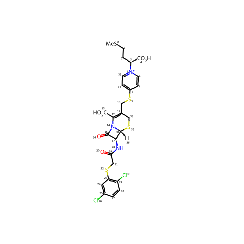 CSCC[C@@H](C(=O)O)[n+]1ccc(SCC2=C(C(=O)O)N3C(=O)[C@H](NC(=O)CSc4cc(Cl)ccc4Cl)[C@H]3SC2)cc1